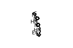 CCN1CCCC1CNCc1ccc(Nc2cccc(-c3nccs3)n2)nc1